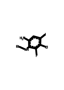 CCNc1c(N)cc(I)c(Cl)c1F